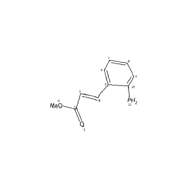 COC(=O)/C=C/c1ccccc1P